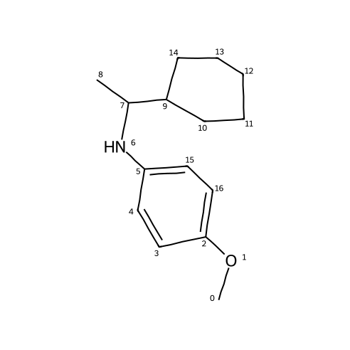 COc1ccc(NC(C)C2CCCCC2)cc1